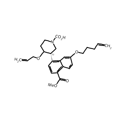 C=CCCCOc1ccc2c(C(=O)OC)ccc([C@H]3CN(C(=O)O)CCC3OCC=C)c2c1